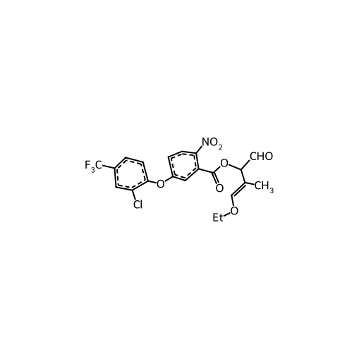 CCOC=C(C)C(C=O)OC(=O)c1cc(Oc2ccc(C(F)(F)F)cc2Cl)ccc1[N+](=O)[O-]